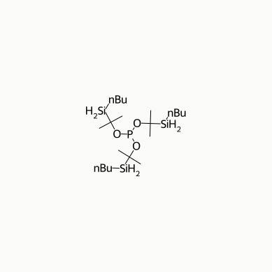 CCCC[SiH2]C(C)(C)OP(OC(C)(C)[SiH2]CCCC)OC(C)(C)[SiH2]CCCC